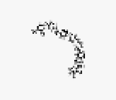 N#Cc1ccc(O[C@H]2CC[C@H](NC(=O)c3ccc(N4CCC(CN5CCN(c6ccc(CC(=O)NC7CCC(=O)NC7=O)nc6)CC5)CC4)nn3)CC2)cc1Cl